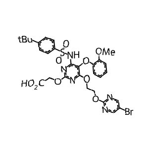 COc1ccccc1Oc1c(NS(=O)(=O)c2ccc(C(C)(C)C)cc2)nc(OCC(=O)O)nc1OCCOc1ncc(Br)cn1